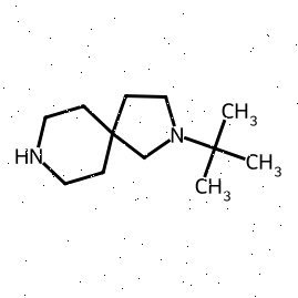 CC(C)(C)N1CCC2(CCNCC2)C1